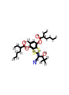 CCCCC(CC)C(=O)Oc1cc(C)c(OC(=O)C(CC)CCCC)c2c1S/C(=C(/C#N)C(=O)C(C)(C)C)S2